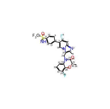 Cc1nc2cc(F)c(-c3ccc(S(=N)(=O)C(F)(F)F)cc3)cn2c1CN1C(=O)[C@@H](C)Oc2c(F)cccc21